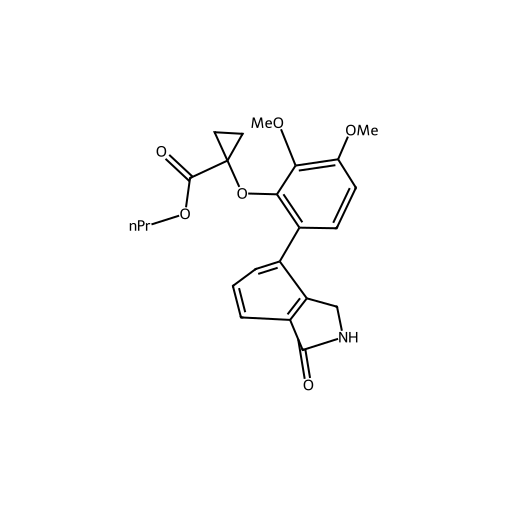 CCCOC(=O)C1(Oc2c(-c3cccc4c3CNC4=O)ccc(OC)c2OC)CC1